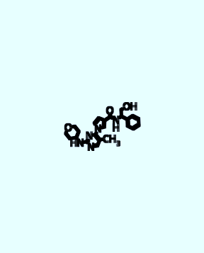 Cc1cnc(NC2CCOCC2)nc1-n1ccc(C(=O)NC(CO)c2ccccc2)c1